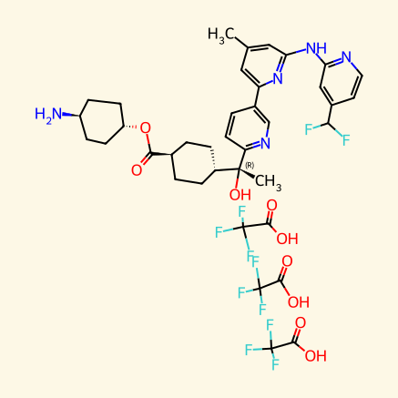 Cc1cc(Nc2cc(C(F)F)ccn2)nc(-c2ccc([C@](C)(O)[C@H]3CC[C@H](C(=O)O[C@H]4CC[C@H](N)CC4)CC3)nc2)c1.O=C(O)C(F)(F)F.O=C(O)C(F)(F)F.O=C(O)C(F)(F)F